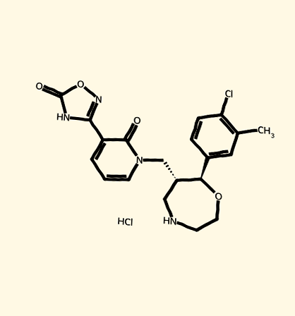 Cc1cc([C@H]2OCCNC[C@@H]2Cn2cccc(-c3noc(=O)[nH]3)c2=O)ccc1Cl.Cl